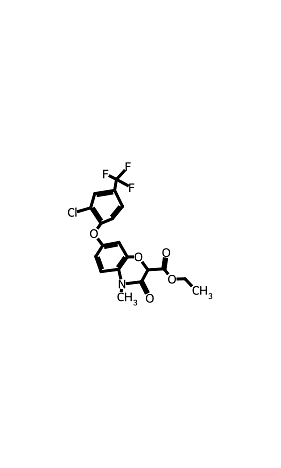 CCOC(=O)C1Oc2cc(Oc3ccc(C(F)(F)F)cc3Cl)ccc2N(C)C1=O